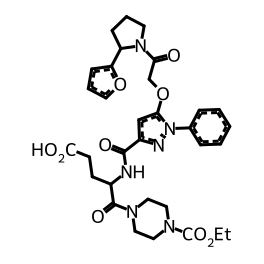 CCOC(=O)N1CCN(C(=O)C(CCC(=O)O)NC(=O)c2cc(OCC(=O)N3CCCC3c3ccco3)n(-c3ccccc3)n2)CC1